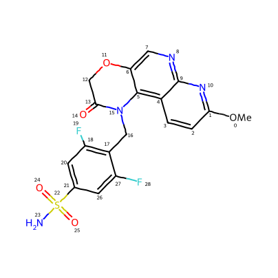 COc1ccc2c3c(cnc2n1)OCC(=O)N3Cc1c(F)cc(S(N)(=O)=O)cc1F